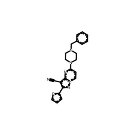 N#Cc1c(-c2ccco2)nn2ccc(N3CCN(Cc4ccccc4)CC3)nc12